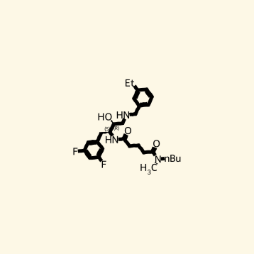 CCCCN(C)C(=O)CCCC(=O)N[C@@H](Cc1cc(F)cc(F)c1)[C@H](O)CNCc1cccc(CC)c1